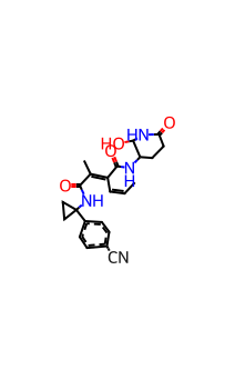 C/C=C\C(C(=O)NC1CCC(=O)NC1O)=C(\C)C(=O)NC1(c2ccc(C#N)cc2)CC1